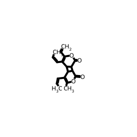 C=CC1=C(/C=C\C)C2C(C(=O)O1)C1C(=O)OC(C)=C(/C=C\C)C12